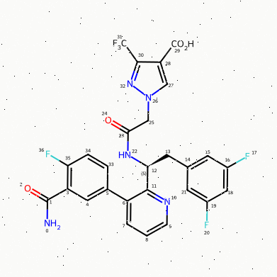 NC(=O)c1cc(-c2cccnc2[C@H](Cc2cc(F)cc(F)c2)NC(=O)Cn2cc(C(=O)O)c(C(F)(F)F)n2)ccc1F